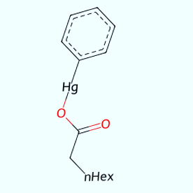 CCCCCCCC(=O)[O][Hg][c]1ccccc1